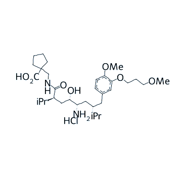 COCCCOc1cc(C[C@@H](C[C@H](N)[C@@H](O)C[C@H](C(=O)NCC2(C(=O)O)CCCC2)C(C)C)C(C)C)ccc1OC.Cl